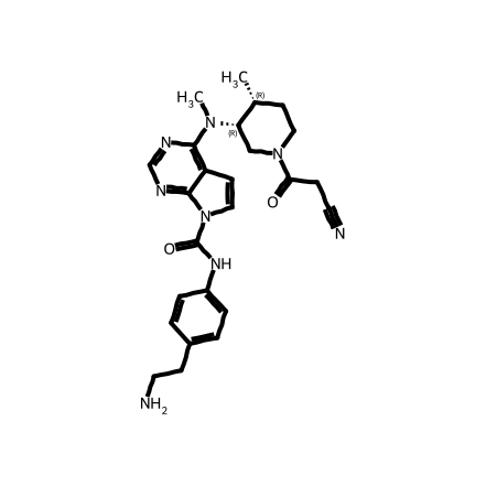 C[C@@H]1CCN(C(=O)CC#N)C[C@@H]1N(C)c1ncnc2c1ccn2C(=O)Nc1ccc(CCN)cc1